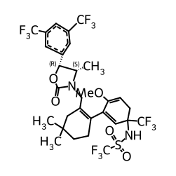 COC1=CCC(NS(=O)(=O)C(F)(F)F)(C(F)(F)F)C=C1C1=C(CN2C(=O)O[C@H](c3cc(C(F)(F)F)cc(C(F)(F)F)c3)[C@@H]2C)CC(C)(C)CC1